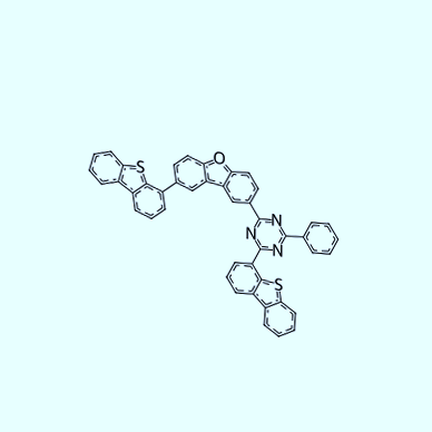 c1ccc(-c2nc(-c3ccc4oc5ccc(-c6cccc7c6sc6ccccc67)cc5c4c3)nc(-c3cccc4c3sc3ccccc34)n2)cc1